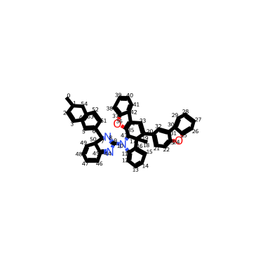 CC1C=Cc2cc(C3N=C(N4c5ccccc5C5(C)C(c6ccc7oc8ccccc8c7c6)=Cc6c(oc7ccccc67)C45)N=C4C=CC=CC43)ccc2C1